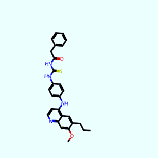 CCCc1cc2c(Nc3ccc(NC(=S)NC(=O)Cc4ccccc4)cc3)ccnc2cc1OC